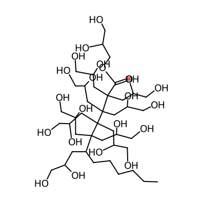 CCCCCCC(CC(O)CO)C(CC(O)CO)(CC(O)CO)C(CC(O)CO)(CC(O)CO)C(CC(O)CO)(CC(O)CO)C(CC(O)CO)(CC(O)CO)C(=O)OCC(O)CO